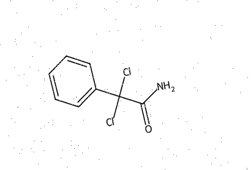 NC(=O)C(Cl)(Cl)c1ccccc1